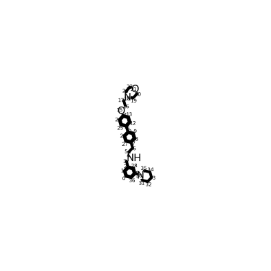 c1cc(CNCCc2ccc(-c3ccc(OCCN4CCOCC4)cc3)cc2)cc(N2CCCCC2)c1